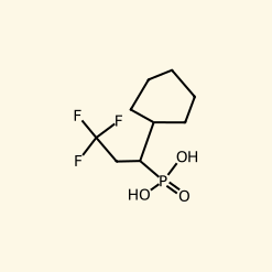 O=P(O)(O)C(CC(F)(F)F)C1CCCCC1